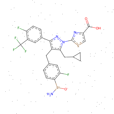 N[S+]([O-])c1ccc(Cc2c(-c3ccc(F)c(C(F)(F)F)c3)nn(-c3nc(C(=O)O)cs3)c2CC2CC2)cc1F